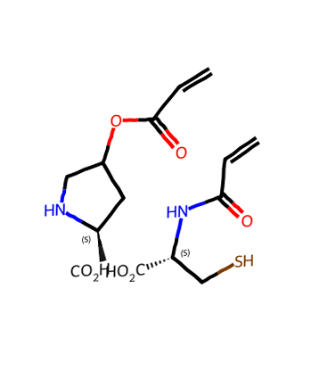 C=CC(=O)N[C@H](CS)C(=O)O.C=CC(=O)OC1CN[C@H](C(=O)O)C1